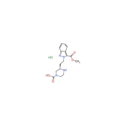 COC(=O)c1c2ccccc2nn1CC[C@@H]1CN(C(=O)O)CCN1.Cl